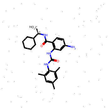 Cc1cc(C)c(NC(=O)Nc2cc(N)ccc2C(=O)N[C@H](C(=O)O)C2CCCCC2)c(C)c1